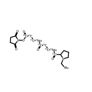 CC(C)(C)CN1CCCC1[13C](=O)[15NH][13CH2][13CH2][13C](=O)[15NH][13CH2][13CH2][13C](=O)ON1C(=O)CCC1=O